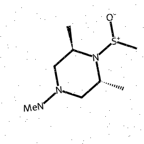 CNN1C[C@@H](C)N([S+](C)[O-])[C@H](C)C1